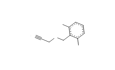 C#CCOCc1c(F)cccc1F